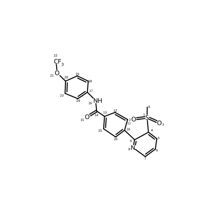 CS(=O)(=O)c1cccnc1-c1ccc(C(=O)Nc2ccc(OC(F)(F)F)cc2)cc1